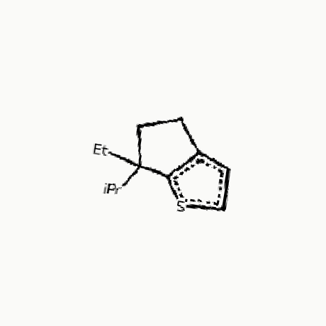 CCC1(C(C)C)CCc2ccsc21